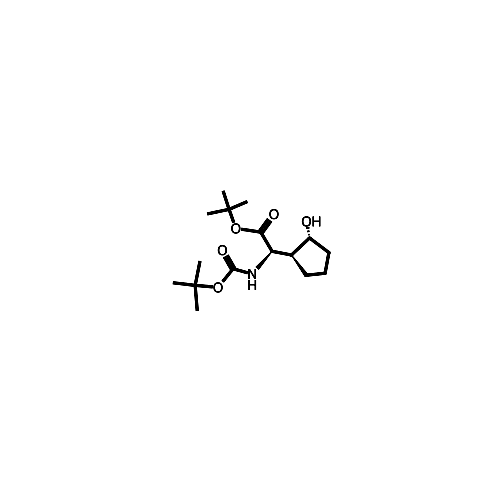 CC(C)(C)OC(=O)N[C@@H](C(=O)OC(C)(C)C)[C@@H]1CCC[C@H]1O